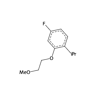 COCCOc1cc(F)ccc1C(C)C